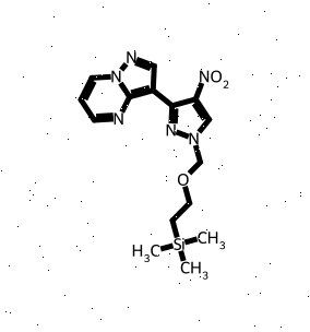 C[Si](C)(C)CCOCn1cc([N+](=O)[O-])c(-c2cnn3cccnc23)n1